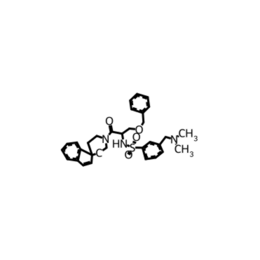 CN(C)Cc1cccc(S(=O)(=O)NC(COCc2ccccc2)C(=O)N2CCC3(C=Cc4ccccc43)CC2)c1